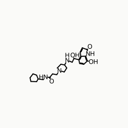 O=C(CCN1CCC(NC[C@@H](O)c2ccc(O)c3[nH]c(=O)ccc23)CC1)NCC1CCCCC1